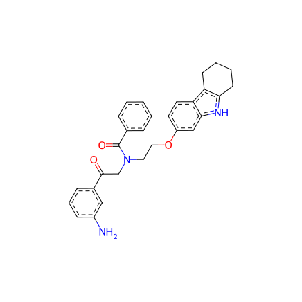 Nc1cccc(C(=O)CN(CCOc2ccc3c4c([nH]c3c2)CCCC4)C(=O)c2ccccc2)c1